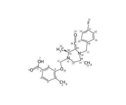 Cc1ccc(C(=O)O)cc1OCN1C[C@@H](C)N(Cc2ccc(F)cc2)C(=C=O)[C@@H]1C